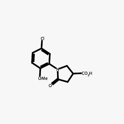 COc1ccc(Cl)cc1N1CC(C(=O)O)CC1=O